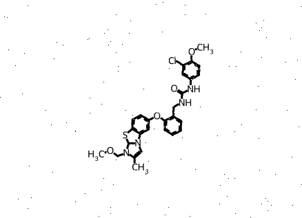 COCN1C(C)=CN2c3cc(Oc4ccccc4CNC(=O)Nc4ccc(OC)c(Cl)c4)ccc3SC12